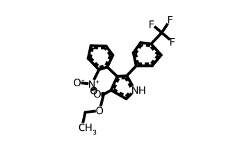 CCOC(=O)c1c[nH]c(-c2ccc(C(F)(F)F)cc2)c1-c1ccccc1[N+](=O)[O-]